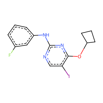 Fc1cccc(Nc2ncc(I)c(OC3CCC3)n2)c1